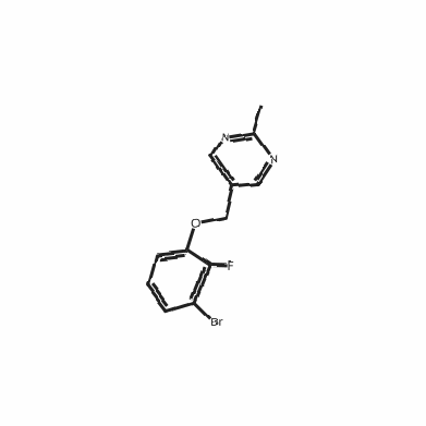 Cc1ncc(COc2cccc(Br)c2F)cn1